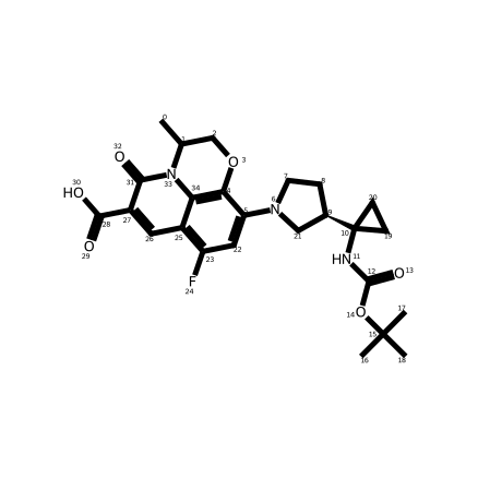 CC1COc2c(N3CC[C@@H](C4(NC(=O)OC(C)(C)C)CC4)C3)cc(F)c3cc(C(=O)O)c(=O)n1c23